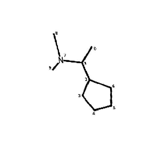 CC(C1CCCC1)N(C)C